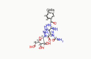 COc1ccc(C(=O)NC(=N)/C(N)=C(\NC(N)=O)C(=O)N(N)C2OC(CO)C(O)C2O)cc1